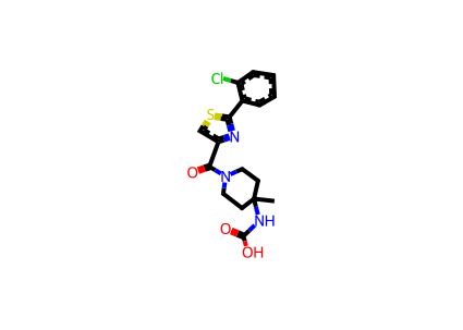 CC1(NC(=O)O)CCN(C(=O)c2csc(-c3ccccc3Cl)n2)CC1